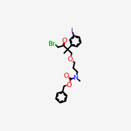 CN(CCCOCC(C)(C(=O)CBr)c1cccc(I)c1)C(=O)OCc1ccccc1